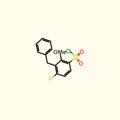 COc1c(S(=O)(=O)Cl)ccc(F)c1Cc1ccccc1